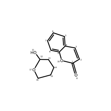 O=c1ccc2ccccc2o1.OC1CCCCO1